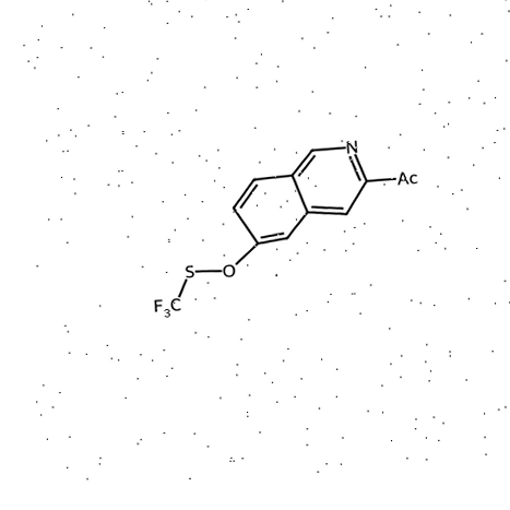 CC(=O)c1cc2cc(OSC(F)(F)F)ccc2cn1